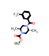 C[C@@H]1CN(C(=O)OC(C)(C)C)[C@@H](C)CN1C(=O)c1cccc(C(F)(F)F)c1